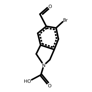 O=Cc1cc2c(cc1Br)CN(C(=O)O)C2